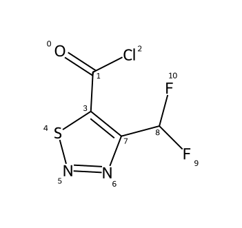 O=C(Cl)c1snnc1C(F)F